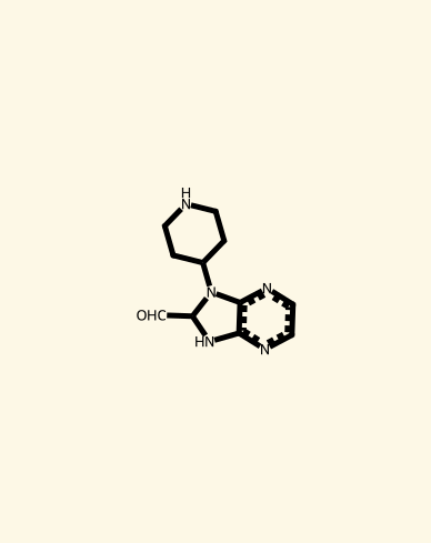 O=CC1Nc2nccnc2N1C1CCNCC1